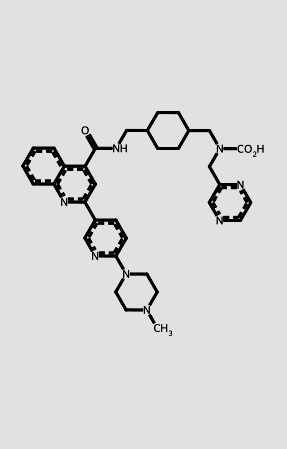 CN1CCN(c2ccc(-c3cc(C(=O)NCC4CCC(CN(Cc5cnccn5)C(=O)O)CC4)c4ccccc4n3)cn2)CC1